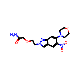 NC(=O)COCCn1cc2cc([N+](=O)[O-])c(N3CCOCC3)cc2n1